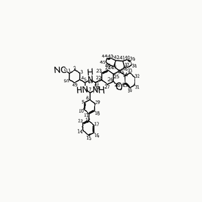 N#CC1CCC(C2NC(C3C=CC(C4=CCCC=C4)=CC3)NC(C3C=CC4C(C3)OC3=CCCCC3C43C4CCC=CC4C4C=CCCC43)N2)CC1